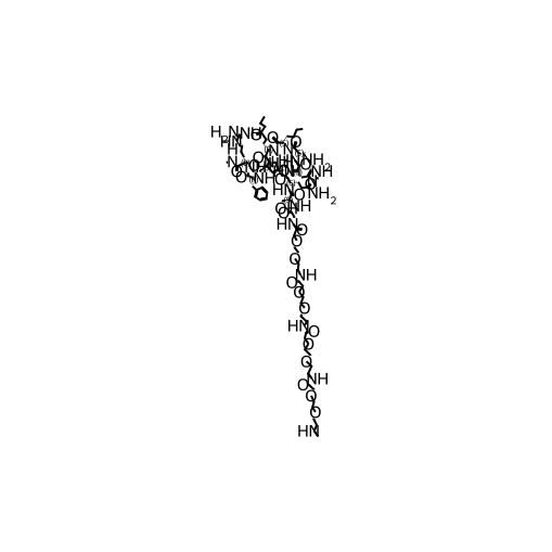 CCCC[C@H](NC(=O)[C@H](CN)NC(=O)[C@H](Cc1c[nH]cn1)NC(=O)[C@H](CCC(N)=O)NC(=O)[C@H](CO)NC(=O)CNC(=O)COCCOCCNC(=O)COCCOCCNC(=O)COCCOCCNC(=O)COCCOCCNC)C(=O)N[C@@H](CCC(=O)CCC)C(=O)N1C[C@H](O)C[C@H]1C(=O)N[C@H](Cc1ccccc1)C(=O)N[C@@H](CCCNC(=N)N)C(=O)NC